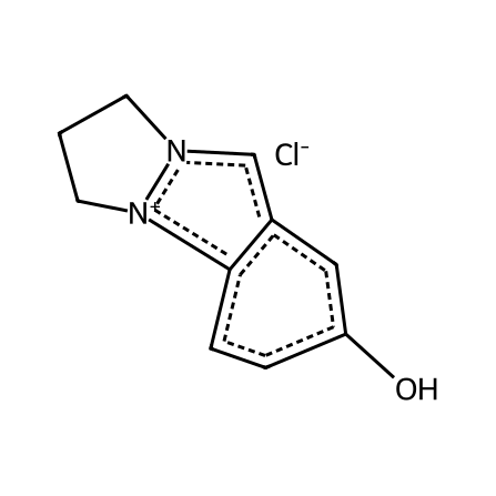 Oc1ccc2c(c1)cn1[n+]2CCC1.[Cl-]